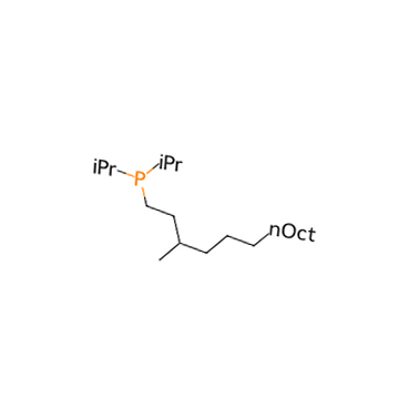 CCCCCCCCCCCC(C)CCP(C(C)C)C(C)C